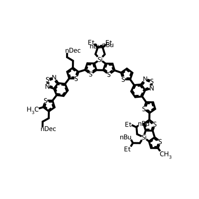 CCCCCCCCCCCCc1cc(-c2ccc(-c3cc(CCCCCCCCCCCC)c(-c4cc5c(s4)-c4sc(-c6ccc(-c7ccc(-c8ccc(-c9cc%10c(s9)-c9sc(C)cc9[Si]%10(CC(CC)CCCC)CC(CC)CCCC)s8)c8nsnc78)s6)cc4[Si]5(CC(CC)CCCC)CC(CC)CCCC)s3)c3nsnc23)sc1C